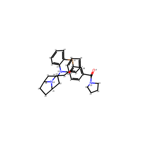 O=C(c1ccc2c(c1)Sc1ccccc1N2C1CC2CCC(C1)N2CCc1ccccc1)N1CCCC1